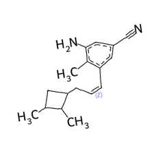 Cc1c(N)cc(C#N)cc1/C=C\CC1CC(C)C1C